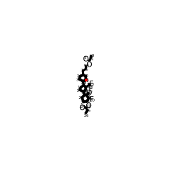 C=CC(=O)OCCCc1ccc(-c2ccc3c(oc4c(F)c(OC(=O)C=C)ccc43)c2C(F)(F)F)cc1